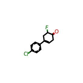 O=C1CC=C(c2ccc(Cl)cc2)CC1F